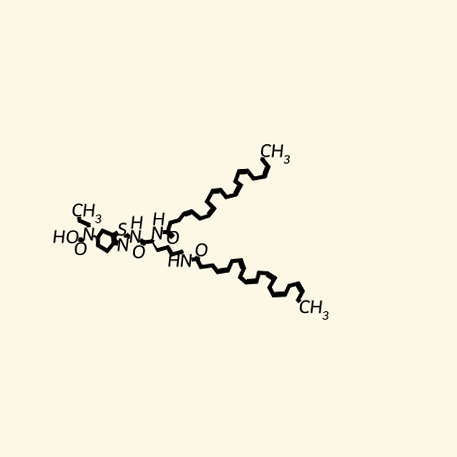 CC/C=C\C/C=C\C/C=C\C/C=C\C/C=C\C/C=C\CCC(=O)NCCCC[C@H](NC(=O)CC/C=C\C/C=C\C/C=C\C/C=C\C/C=C\C/C=C\CC)C(=O)Nc1nc2c(s1)C[C@H](N(CCC)C(=O)O)CC2